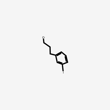 [O]CCCc1cccc(I)c1